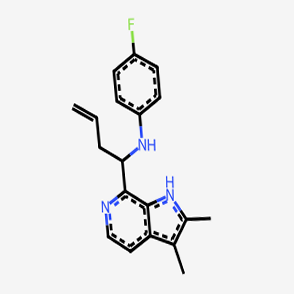 C=CCC(Nc1ccc(F)cc1)c1nccc2c(C)c(C)[nH]c12